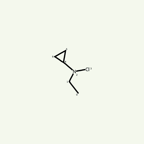 CCN(Cl)C1CC1